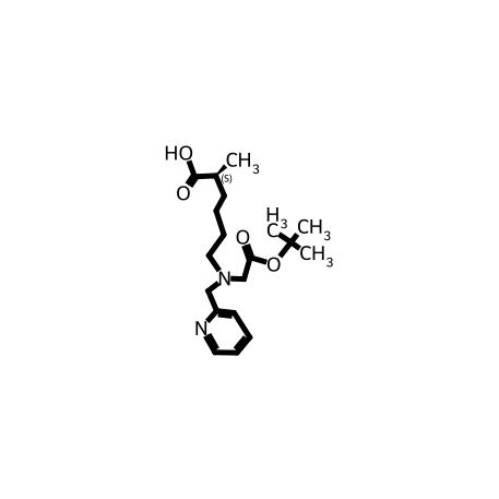 C[C@@H](CCCCN(CC(=O)OC(C)(C)C)Cc1ccccn1)C(=O)O